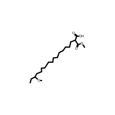 CCC(CCCCCCCCCCCCCC(C(=O)O)C(=O)OC)OC